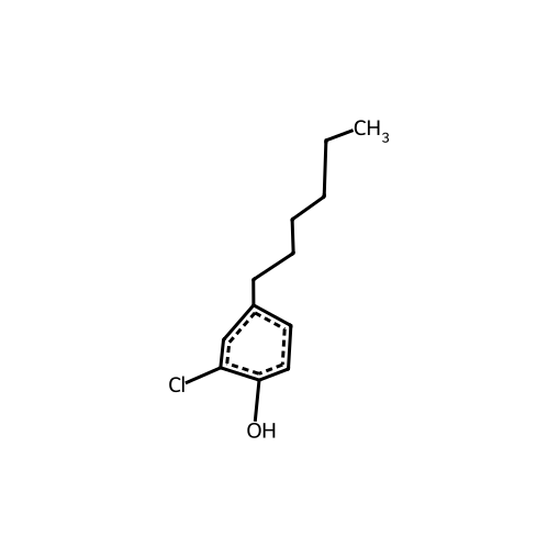 CCCCCCc1ccc(O)c(Cl)c1